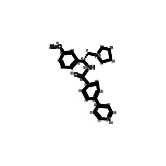 COc1cccc([C@H](CN2CCCC2)NC(=O)c2ccc(-c3ccncc3)cc2)c1